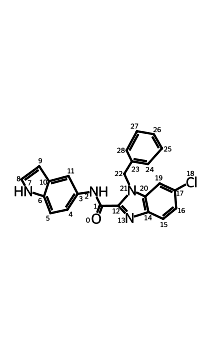 O=C(Nc1ccc2[nH]ccc2c1)c1nc2ccc(Cl)cc2n1Cc1ccccc1